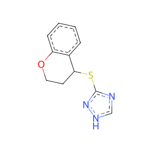 c1ccc2c(c1)OCCC2Sc1nc[nH]n1